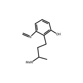 C=Nc1cccc(O)c1CCC(C)NC